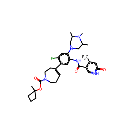 CC1CN(c2cc(F)c(C3=CCCN(C(=O)OC4(C)CCC4)CC3)cc2NC(=O)c2c[nH]c(=O)cc2C(F)(F)F)CC(C)N1C